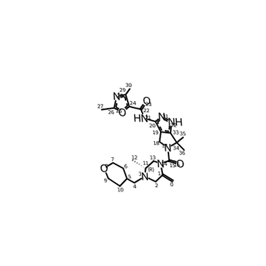 C=C1CN(CC2CCOCC2)[C@H](C)CN1C(=O)N1Cc2c(NC(=O)c3oc(C)nc3C)n[nH]c2C1(C)C